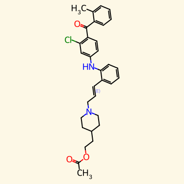 CC(=O)OCCC1CCN(C/C=C/c2ccccc2Nc2ccc(C(=O)c3ccccc3C)c(Cl)c2)CC1